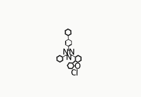 Clc1cccc2c1oc1cccc(-c3nc(C4=CCC(c5ccccc5)C=C4)nc(-c4ccccc4)n3)c12